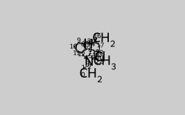 C=CCN1C2CC34c5c(cccc52)C[C@H]3C(=C)CCC4(Cl)C1C